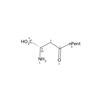 CCCCCC(=O)C[C@H](N)C(=O)O